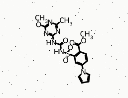 COC(=O)c1ccc(-n2cccc2)cc1S(=O)(=O)NC(=O)Nc1nc(C)nc(OC)n1